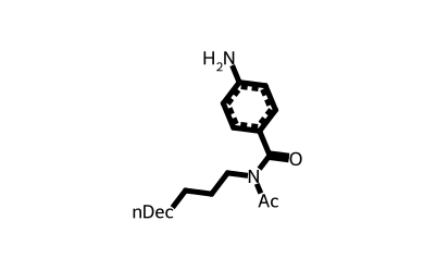 CCCCCCCCCCCCCN(C(C)=O)C(=O)c1ccc(N)cc1